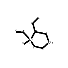 CCC1COCC[N+]1(C)CC